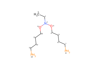 CCN(OCCCCP)OCCCCP